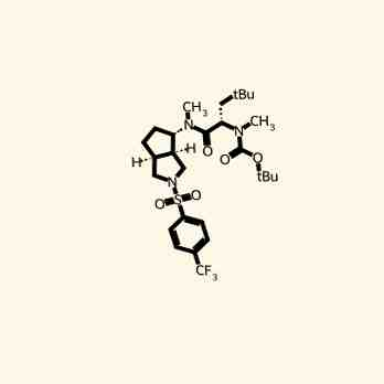 CN(C(=O)OC(C)(C)C)[C@@H](CC(C)(C)C)C(=O)N(C)[C@H]1CC[C@@H]2CN(S(=O)(=O)c3ccc(C(F)(F)F)cc3)C[C@@H]21